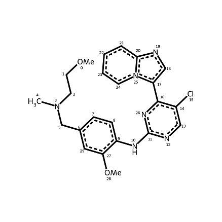 COCCN(C)Cc1ccc(Nc2ncc(Cl)c(-c3cnc4ccccn34)n2)c(OC)c1